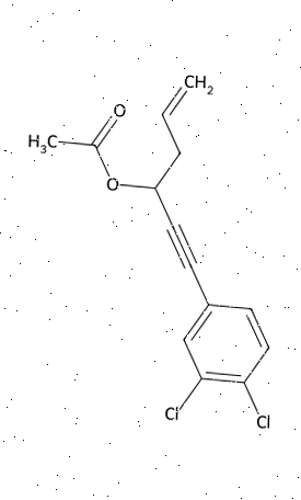 C=CCC(C#Cc1ccc(Cl)c(Cl)c1)OC(C)=O